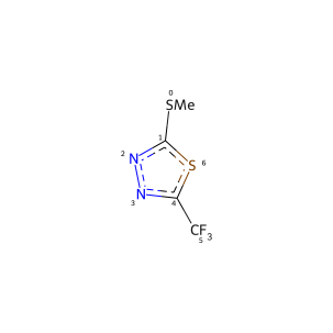 [CH2]Sc1nnc(C(F)(F)F)s1